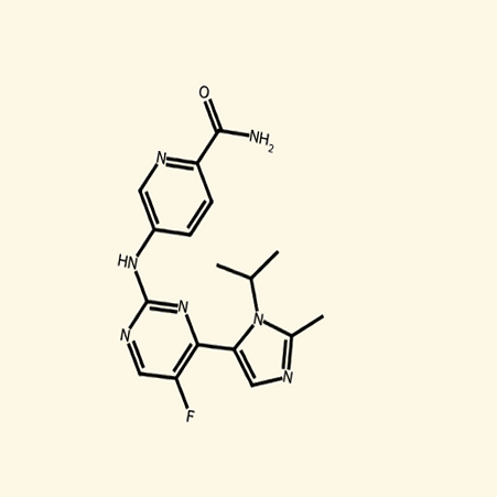 Cc1ncc(-c2nc(Nc3ccc(C(N)=O)nc3)ncc2F)n1C(C)C